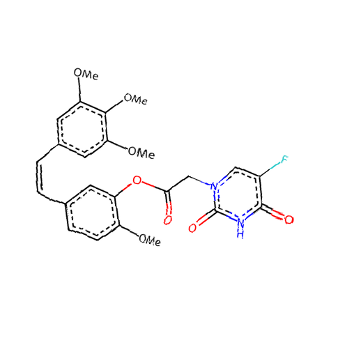 COc1ccc(/C=C\c2cc(OC)c(OC)c(OC)c2)cc1OC(=O)Cn1cc(F)c(=O)[nH]c1=O